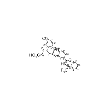 CC(CCc1nc2cc(C(=O)N[C@@H](c3ccccc3)C(F)(F)F)ccc2nc1-c1ccc(Cl)cc1)CC(=O)O